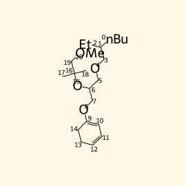 CCCCC(CC)COCC(COC1=CC=CCC1)OC(C)(C)COC